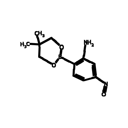 CC1(C)COB(c2ccc(N=O)cc2N)OC1